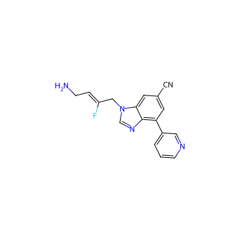 N#Cc1cc(-c2cccnc2)c2ncn(CC(F)=CCN)c2c1